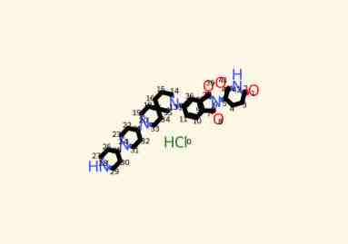 Cl.O=C1CCC(N2C(=O)c3ccc(N4CCCC5(CCN(C6CCN(C7CCNCC7)CC6)CC5)C4)cc3C2=O)C(=O)N1